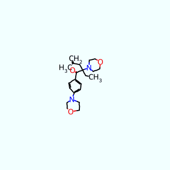 C=C(C)CC(CC)(C(=O)c1ccc(N2CCOCC2)cc1)N1CCOCC1